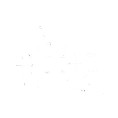 COC(=O)C1(Cc2cccc(C(C)(CCCC(C)(C)CS(=O)(=O)CCO[Si](c3ccccc3)(c3ccccc3)C(C)(C)C)C(=O)OC(C)(C)C)c2)CC1